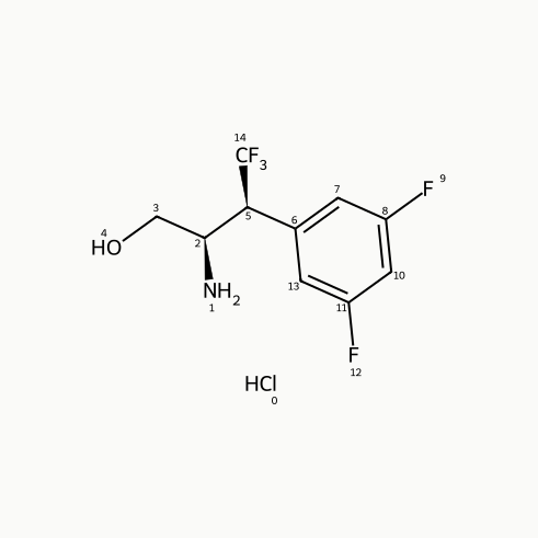 Cl.N[C@@H](CO)[C@H](c1cc(F)cc(F)c1)C(F)(F)F